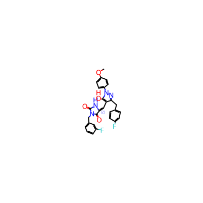 COc1ccc(-n2nc(Cc3ccc(F)cc3)c(/C=C3\NC(=O)N(Cc4cccc(F)c4)C3=O)c2O)cc1